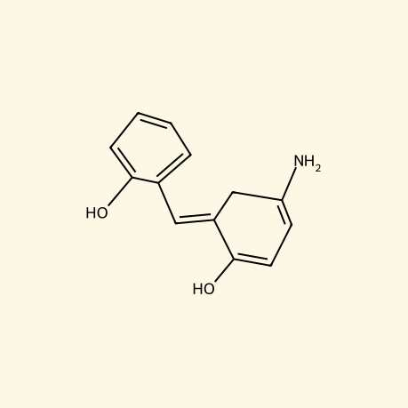 NC1=CC=C(O)C(=Cc2ccccc2O)C1